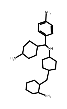 Nc1ccc(C(NC2CCC(CC3CCCCC3N)CC2)C2CCC(N)CC2)cc1